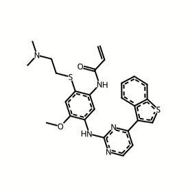 C=CC(=O)Nc1cc(Nc2nccc(-c3csc4ccccc34)n2)c(OC)cc1SCCN(C)C